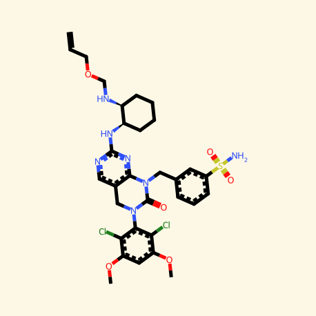 C=CCOCN[C@H]1CCCC[C@H]1Nc1ncc2c(n1)N(Cc1cccc(S(N)(=O)=O)c1)C(=O)N(c1c(Cl)c(OC)cc(OC)c1Cl)C2